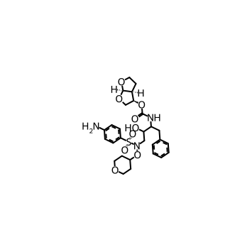 Nc1ccc(S(=O)(=O)N(CC(O)C(Cc2ccccc2)NC(=O)O[C@H]2CO[C@H]3OCC[C@H]32)OC2CCOCC2)cc1